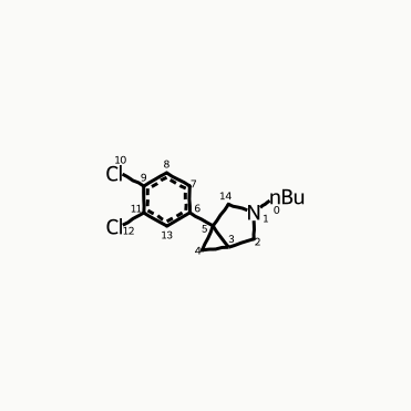 CCCCN1CC2CC2(c2ccc(Cl)c(Cl)c2)C1